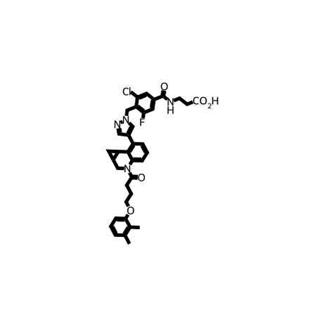 Cc1cccc(OCCCC(=O)N2CC3CC3c3c(-c4cnn(Cc5c(F)cc(C(=O)NCCC(=O)O)cc5Cl)c4)cccc32)c1C